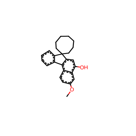 COc1ccc2c3c(cc(O)c2c1)C1(CCCCCCC1)c1ccccc1-3